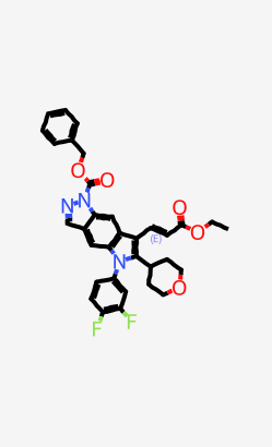 CCOC(=O)/C=C/c1c(C2CCOCC2)n(-c2ccc(F)c(F)c2)c2cc3cnn(C(=O)OCc4ccccc4)c3cc12